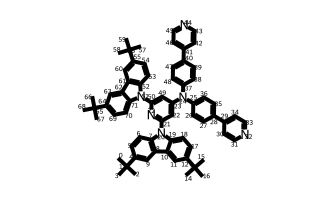 CC(C)(C)c1ccc2c(c1)c1cc(C(C)(C)C)ccc1n2-c1cc(N(c2ccc(-c3ccncc3)cc2)c2ccc(-c3ccncc3)cc2)cc(-n2c3ccc(C(C)(C)C)cc3c3cc(C(C)(C)C)ccc32)n1